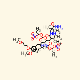 COCCCOc1cc(CC(CC(NC(=O)OC(C)O[N+](=O)[O-])C(CC(C(=O)NCC(C)(C)C(N)=O)C(C)C)OC(=O)OC(C)O[N+](=O)[O-])C(C)C)ccc1OC